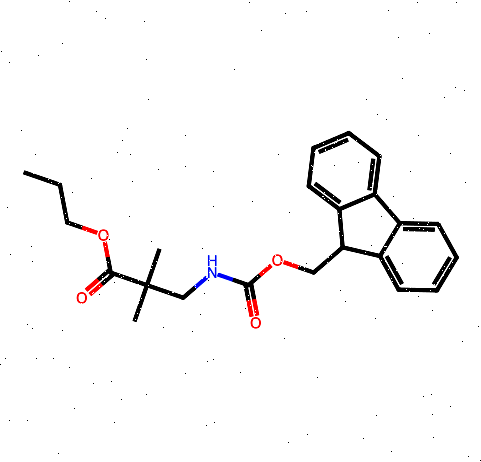 CCCOC(=O)C(C)(C)CNC(=O)OCC1c2ccccc2-c2ccccc21